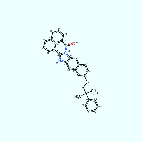 CC(C)(CCc1ccc2cc3c(cc2c1)nc1c2cccc4cccc(c(=O)n31)c42)c1ccccc1